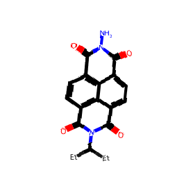 CCC(CC)N1C(=O)c2ccc3c4c(ccc(c24)C1=O)C(=O)N(N)C3=O